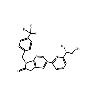 O=C1Cc2cc(-c3cccc([C@H](O)CO)n3)ccc2N1Cc1ccc(C(F)(F)F)cc1